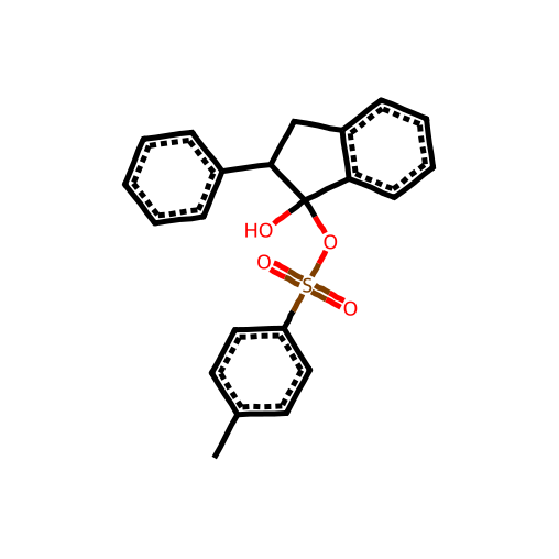 Cc1ccc(S(=O)(=O)OC2(O)c3ccccc3CC2c2ccccc2)cc1